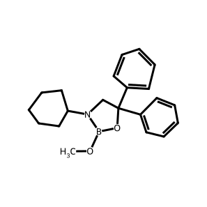 COB1OC(c2ccccc2)(c2ccccc2)CN1C1CCCCC1